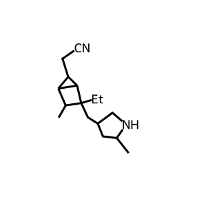 CCC1(CC2CNC(C)C2)C(C)C2C(CC#N)C21